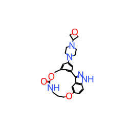 O=C1NCCCOc2ccc3[nH]nc(c3c2)-c2cc(cc(N3CCN(C4COC4)CC3)c2)CO1